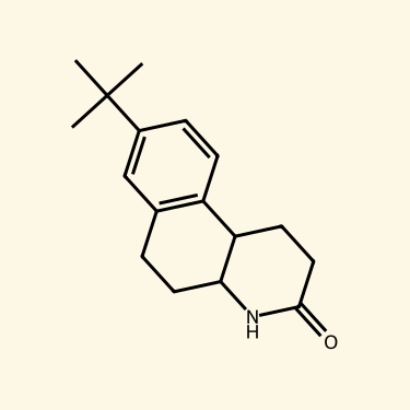 CC(C)(C)c1ccc2c(c1)CCC1NC(=O)CCC21